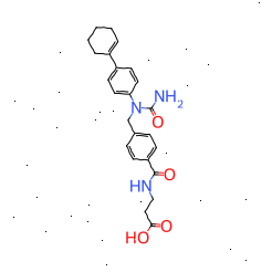 NC(=O)N(Cc1ccc(C(=O)NCCC(=O)O)cc1)c1ccc(C2=CCCCC2)cc1